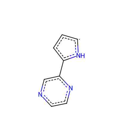 [c]1ccc(-c2cnccn2)[nH]1